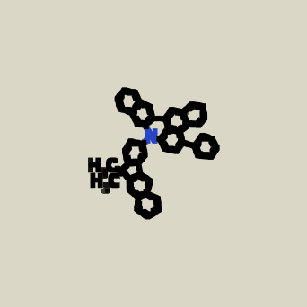 CC1(C)c2ccc(N(c3ccc(-c4ccccc4)cc3)c3cc4ccccc4cc3-c3ccc4ccccc4c3)cc2-c2cc3ccccc3cc21